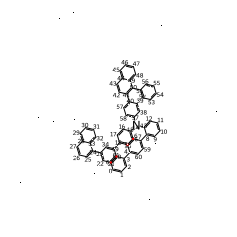 c1ccc(-c2ccc(-c3ccccc3N(c3ccc(-c4cccc(-c5cccc6ccccc56)c4)cc3)c3ccc(-c4ccc5ccccc5c4-c4ccccc4)cc3)cc2)cc1